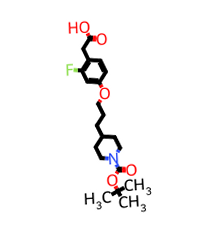 CC(C)(C)OC(=O)N1CCC(CCCOc2ccc(CC(=O)O)c(F)c2)CC1